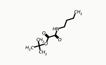 CCCCNC(=O)C(=O)OC(C)(C)C